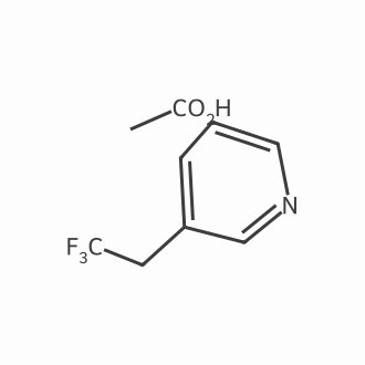 CC(=O)O.FC(F)(F)Cc1cccnc1